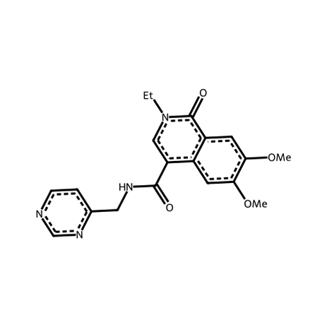 CCn1cc(C(=O)NCc2ccncn2)c2cc(OC)c(OC)cc2c1=O